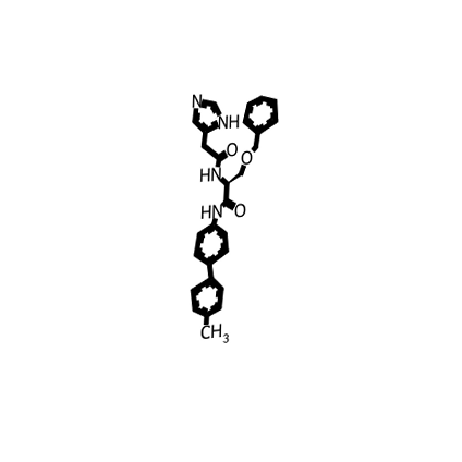 Cc1ccc(-c2ccc(NC(=O)[C@H](COCc3ccccc3)NC(=O)Cc3cnc[nH]3)cc2)cc1